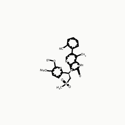 CCOc1nc([C@H](CS(C)(=O)=O)n2c(=O)[nH]c3c(C)c(-c4ccccc4C#N)cnc32)ccc1OC